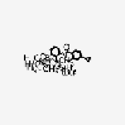 CC(C)(C)[SiH2]OC(C)(C)c1c(B2OC(C)(C)C(C)(C)O2)cccc1N1CCc2cc(C3CC3)ccc2C1=O